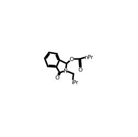 CCCC(=O)OC1c2ccccc2C(=O)N1CC(C)C